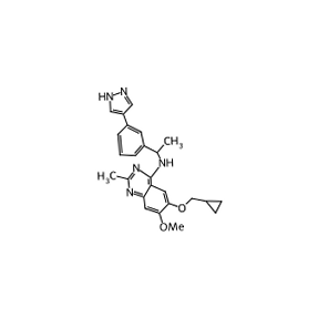 COc1cc2nc(C)nc(NC(C)c3cccc(-c4cn[nH]c4)c3)c2cc1OCC1CC1